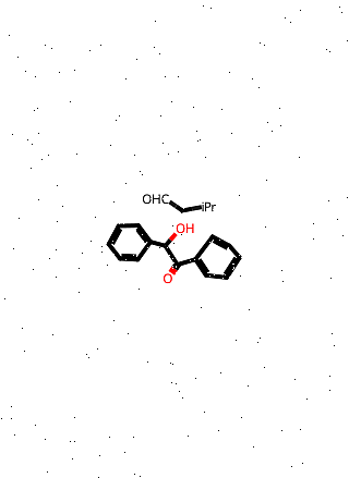 CC(C)CC=O.O=C(c1ccccc1)C(O)c1ccccc1